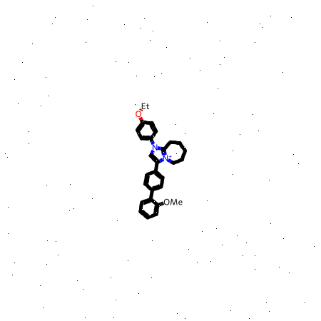 CCOc1ccc(-n2cc(-c3ccc(-c4ccccc4OC)cc3)[n+]3c2CCCCC3)cc1